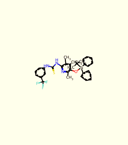 Cc1nc(NC(=S)Nc2cccc(C(F)(F)F)c2)c(C)c(C)c1O[Si](c1ccccc1)(c1ccccc1)C(C)(C)C